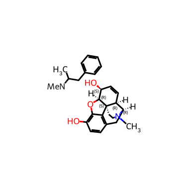 CN1CC[C@]23c4c5ccc(O)c4O[C@H]2[C@@H](O)C=C[C@H]3[C@H]1C5.CNC(C)Cc1ccccc1